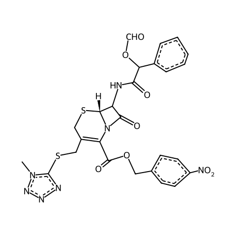 Cn1nnnc1SCC1=C(C(=O)OCc2ccc([N+](=O)[O-])cc2)N2C(=O)C(NC(=O)C(OC=O)c3ccccc3)[C@H]2SC1